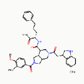 CNC(=O)[C@H](CCCc1ccccc1)NC(=O)C1CN(C(=O)CC2CNc3ccc(OC)cc32)CC2CN(C(=O)c3ccc(OC(C)C)c(OC)c3)CC21